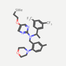 CSCCOc1cnc(N(Cc2cc(C)ccc2N2CCOCC2)C(C)c2cc(C(F)(F)F)cc(C(F)(F)F)c2)nc1